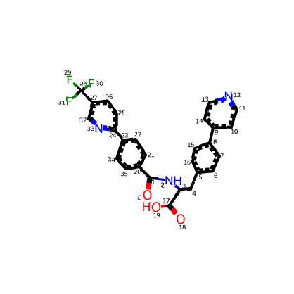 O=C(NC(Cc1ccc(-c2ccncc2)cc1)C(=O)O)c1ccc(-c2ccc(C(F)(F)F)cn2)cc1